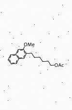 COc1cc2ccccc2cc1CCCCCCOC(C)=O